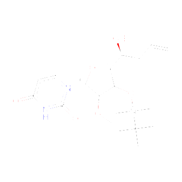 C=CC[C@H](O)[C@H]1O[C@@H](n2ccc(=O)[nH]c2=O)C(OC)C1O[Si](C)(C)C(C)(C)C